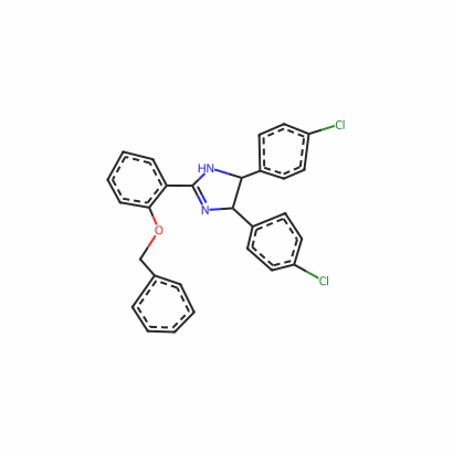 Clc1ccc(C2N=C(c3ccccc3OCc3ccccc3)NC2c2ccc(Cl)cc2)cc1